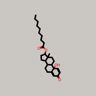 CCCCCCCCCC(=O)OC1CCC2C3CCC4=CC(=O)C=CC4(O)C3CCC12C